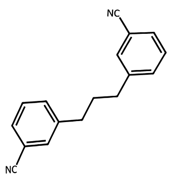 N#Cc1cccc(CCCc2cccc(C#N)c2)c1